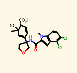 Cn1c(C(=O)NC2(C3=CC(C)(C#N)C(C(=O)O)C=C3)CCOC2)cc2c(Cl)c(Cl)ccc21